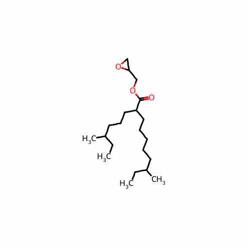 CCC(C)CCCCCC(CCCC(C)CC)C(=O)OCC1CO1